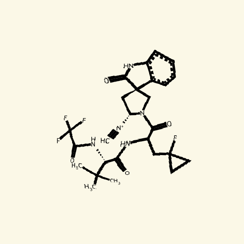 C#[N+][C@@H]1C[C@@]2(CN1C(=O)C(CC1(F)CC1)NC(=O)[C@@H](NC(=O)C(F)(F)F)C(C)(C)C)C(=O)Nc1ccccc12